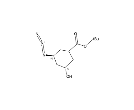 CC(C)(C)OC(=O)C1C[C@H](O)C[C@@H](N=[N+]=[N-])C1